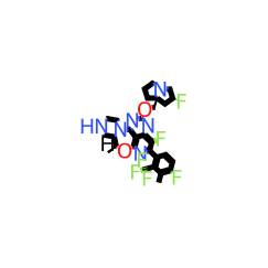 Cc1c(F)ccc(-c2nc3c4c(nc(OC[C@@]56CCCN5C[C@H](F)C6)nc4c2F)N2CCNC[C@H]2[C@H](C)O3)c1C(F)(F)F